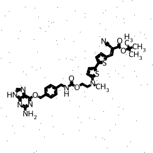 CN(CCOC(=O)NCc1ccc(COc2nc(N)nc3[nH]cnc23)cc1)c1ccc(-c2ccc(/C=C(\C#N)C(=O)OC(C)(C)C)s2)s1